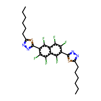 CCCCCCc1nnc(-c2c(F)c(F)c3c(F)c(-c4nnc(CCCCCC)s4)c(F)c(F)c3c2F)s1